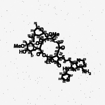 CC[C@H]1OC(=O)C(C)[C@@H](O[C@H]2C[C@@](C)(OC)[C@@H](O)[C@H](C)O2)[C@H](C)[C@@H](O[C@@H]2O[C@H](C)CC(N(C)C)[C@H]2O)[C@](C)(OC)C[C@@H](C)C(=O)[C@H](C)C2C(SCCn3c(Nc4cccnc4)nc4c(N)ncnc43)C(=O)O[C@@]21C